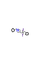 ICC(CI)(Cc1ccccc1)CC1CCN(Cc2ccccc2)CC1